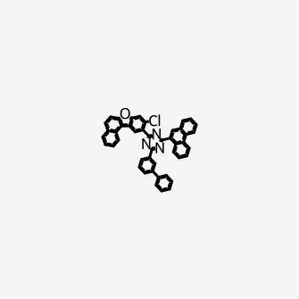 Clc1cc2oc3ccc4ccccc4c3c2cc1-c1nc(-c2cccc(-c3ccccc3)c2)nc(-c2cc3ccccc3c3ccccc23)n1